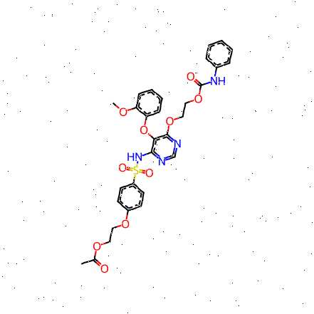 COc1ccccc1Oc1c(NS(=O)(=O)c2ccc(OCCOC(C)=O)cc2)ncnc1OCCOC(=O)Nc1ccccc1